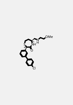 COCCNC[C@@H]1CCS[C@H](c2cccc(-c3ccc(Cl)cc3)c2)C(=O)N1